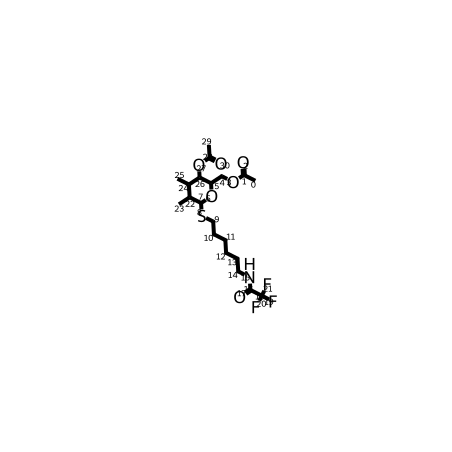 CC(=O)OCC1OC(SCCCCCCNC(=O)C(F)(F)F)C(C)C(C)C1OC(C)=O